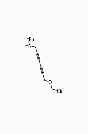 CC(C)(C)COCC#CC#CCNC(C)(C)C